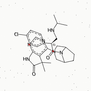 CC(C)NC[C@@H](C(=O)N1C2CCC1CN(c1ncnc3c1C(C)(C)C(=O)N3)C2)c1ccc(Cl)cc1